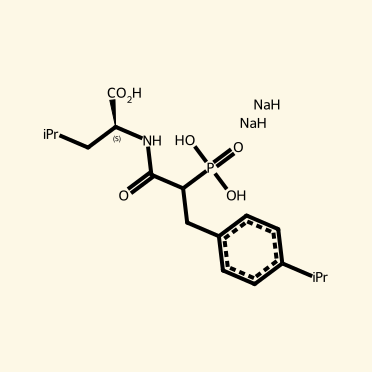 CC(C)C[C@H](NC(=O)C(Cc1ccc(C(C)C)cc1)P(=O)(O)O)C(=O)O.[NaH].[NaH]